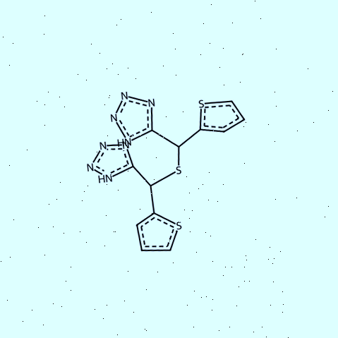 c1csc(C(SC(c2nnn[nH]2)c2cccs2)c2nnn[nH]2)c1